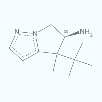 CC(C)(C)C1(C)c2ccnn2C[C@H]1N